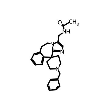 CC(=O)NCc1cnc2n1CCc1ccccc1C21CCN(Cc2ccccc2)CC1